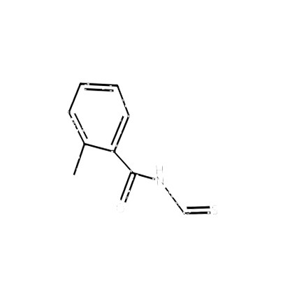 Cc1ccccc1C(=O)NC=S